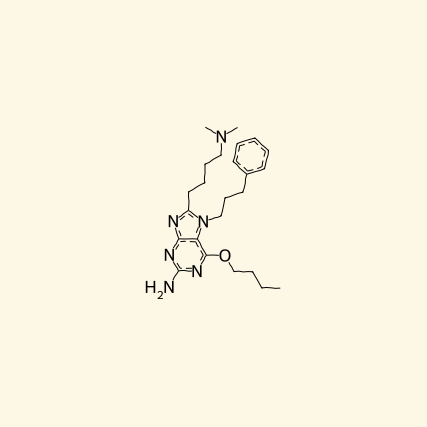 CCCCOc1nc(N)nc2nc(CCCCN(C)C)n(CCCc3ccccc3)c12